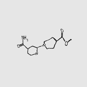 COC(=O)C1CCN(C2CC(C(N)=O)CC[N]2)CC1